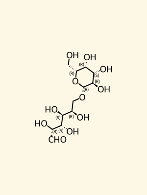 O=C[C@H](O)[C@@H](O)[C@@H](O)[C@H](O)CO[C@@H]1O[C@H](CO)[C@H](O)[C@H](O)[C@H]1O